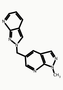 Cn1ncc2cc(Cn3cc4cccnc4n3)cnc21